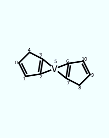 C1=C[C]2=[C](C1)[V]21[C]2=[C]1CC=C2